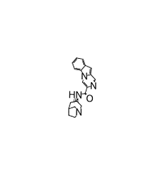 O=C(N[C@@H]1CC2CCN(C2)C1)c1cn2c(cn1)cc1ccccc12